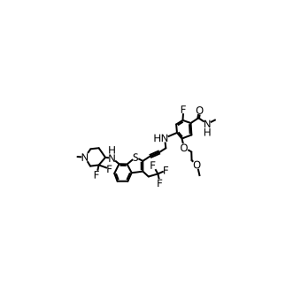 CNC(=O)c1cc(OCCOC)c(NCC#Cc2sc3c(NC4CCN(C)CC4(F)F)cccc3c2CC(F)(F)F)cc1F